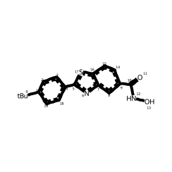 CC(C)(C)c1ccc(-c2nc3cc(C(=O)NO)ccc3s2)cc1